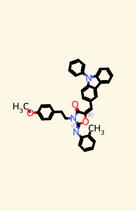 COc1ccc(CCN2C(=O)/C(=C\c3ccc4c(c3)c3ccccc3n4-c3ccccc3)O/C2=N\c2ccccc2C)cc1